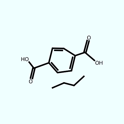 CCCC.O=C(O)c1ccc(C(=O)O)cc1